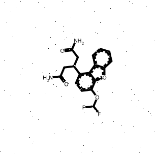 NC(=O)CC(CC(N)=O)c1ccc(OC(F)F)c2oc3ccccc3c12